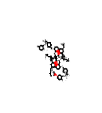 CCC(C)(C)c1cc(NC(=O)N(Cc2ccccc2Sc2ccc3nnc(-c4cc(Cl)ccc4O)n3c2)N(C(=O)NCc2ccccc2Sc2ccc3nnc(-c4cc(F)ccc4O)n3c2)c2cc(C(C)(C)CC)nn2-c2cccc(CN3CCOCC3)c2)n(-c2cccc(CN(C)C)c2)n1